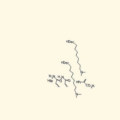 Br.C=C(CCC)C(=O)O.C=CC(N)=O.C=CC(N)=O.CCCCCCCCCCCCCCCCCCN(C)C.CCCCCCCCCCCCCCCCCCN(C)C